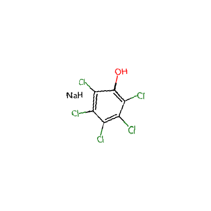 Oc1c(Cl)c(Cl)c(Cl)c(Cl)c1Cl.[NaH]